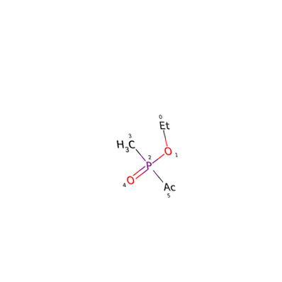 CCOP(C)(=O)C(C)=O